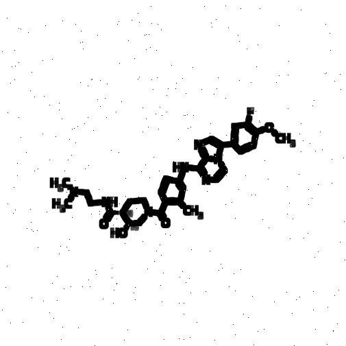 COc1ccc(-c2cnc3c(Nc4ccc(C(=O)N5CC[C@@H](C(=O)NCCN(C)C)[C@H](O)C5)c(C)c4)nccn23)cc1F